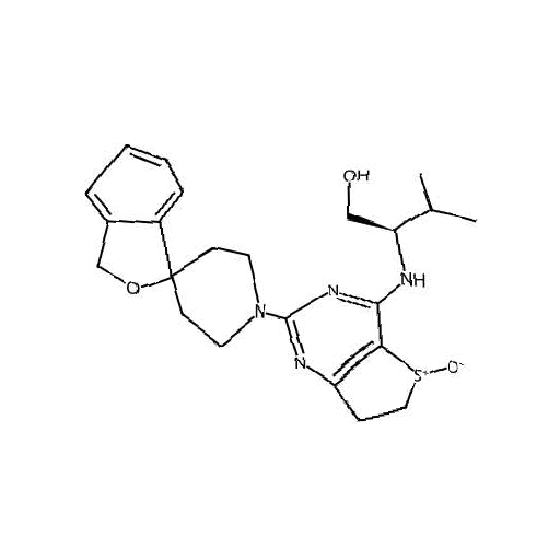 CC(C)[C@H](CO)Nc1nc(N2CCC3(CC2)OCc2ccccc23)nc2c1[S+]([O-])CC2